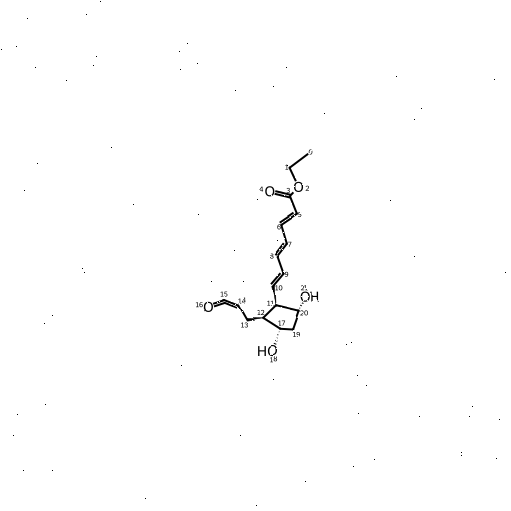 CCOC(=O)C=CC=CC=C[C@@H]1[C@H](CC=C=O)[C@@H](O)C[C@H]1O